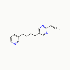 C=Cc1ncc(CCCCc2cccnc2)cn1